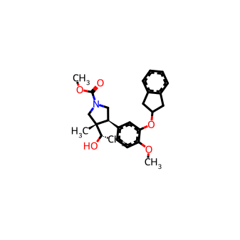 COC(=O)N1C[C@@H](c2ccc(OC)c(OC3Cc4ccccc4C3)c2)[C@](C)([C@H](C)O)C1